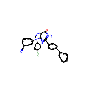 N#Cc1cccc([N+]2(c3ccc(Cl)cc3)C=Nc3c2nc(-c2ccc(-c4ccccc4)cc2)[nH]c3=O)c1